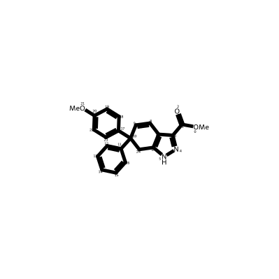 COC(=O)c1n[nH]c2c1C=CC(c1ccccc1)(c1ccc(OC)cc1)C2